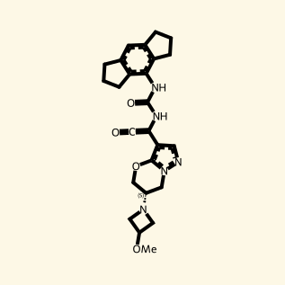 COC1CN([C@@H]2COc3c(C(=C=O)NC(=O)Nc4c5c(cc6c4CCC6)CCC5)cnn3C2)C1